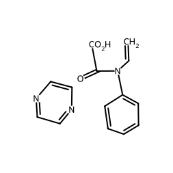 C=CN(C(=O)C(=O)O)c1ccccc1.c1cnccn1